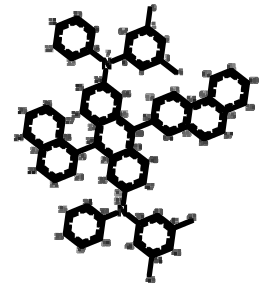 Cc1cc(C)cc(N(c2ccccc2)c2ccc3c(-c4cccc5ccccc45)c4cc(N(c5ccccc5)c5cc(C)cc(C)c5)ccc4c(-c4ccc5c(ccc6ccccc65)c4)c3c2)c1